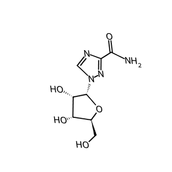 NC(=O)c1ncn([C@@H]2O[C@@H](CO)[C@H](O)[C@@H]2O)n1